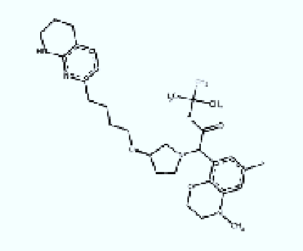 CN1CCOc2c(C(C(=O)OC(C)(C)C)N3CC[C@@H](OCCCCc4ccc5c(n4)NCCC5)C3)cc(F)cc21